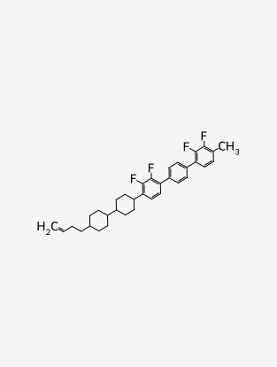 C=CCCC1CCC(C2CCC(c3ccc(-c4ccc(-c5ccc(C)c(F)c5F)cc4)c(F)c3F)CC2)CC1